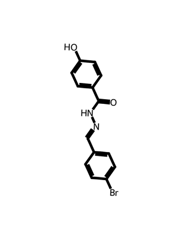 O=C(NN=Cc1ccc(Br)cc1)c1ccc(O)cc1